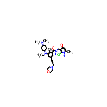 CCN(c1cc(C#CCN2CCOCC2)cc(C(=O)NCc2c(Cl)[nH]c(C)cc2=O)c1C)C1CCC(N(C)C)CC1